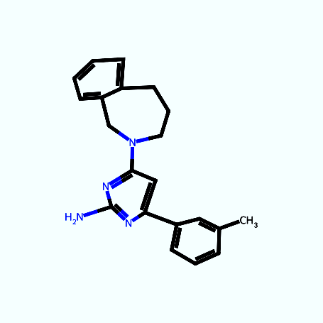 Cc1cccc(-c2cc(N3CCCc4ccccc4C3)nc(N)n2)c1